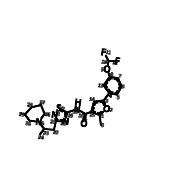 Cc1oc(-c2cccc(OC(F)F)c2)cc1C(=O)Nc1nc(CC(C)N2CCCCC2)ns1